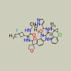 CCNC(=O)[C@H](NC(=O)C1(c2ccc3[nH]c([C@@H](NC(=O)c4ccnn4C)[C@H](c4ccccc4Cl)C4(C)CC4)nc3c2)CCOC1)C1CC(C)(F)C1